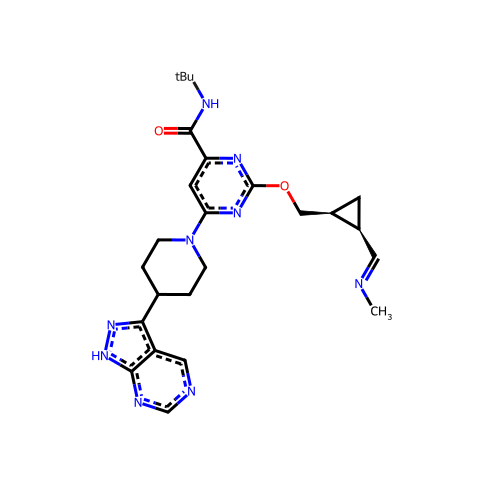 CN=C[C@@H]1C[C@@H]1COc1nc(C(=O)NC(C)(C)C)cc(N2CCC(c3n[nH]c4ncncc34)CC2)n1